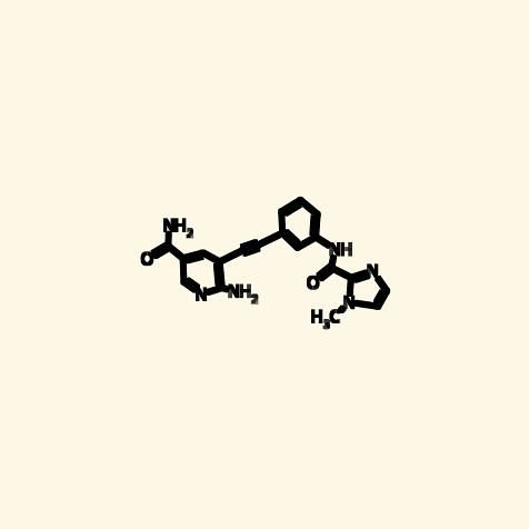 Cn1ccnc1C(=O)Nc1cccc(C#Cc2cc(C(N)=O)cnc2N)c1